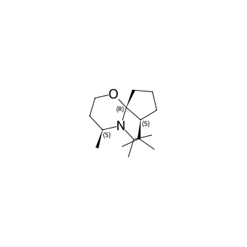 CC(C)[C@@H]1CCC[C@@]12OCC[C@H](C)N2C(C)C